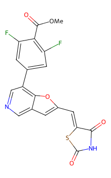 COC(=O)c1c(F)cc(-c2cncc3cc(/C=C4\SC(=O)NC4=O)oc23)cc1F